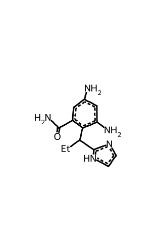 CCC(c1ncc[nH]1)c1c(N)cc(N)cc1C(N)=O